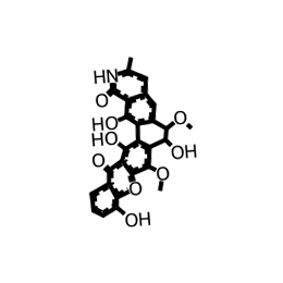 COc1c2c(c(O)c3c(=O)c4cccc(O)c4oc13)-c1c(cc3cc(C)[nH]c(=O)c3c1O)C(OC)C2O